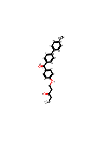 CC(C)(C)CC(=O)CCOc1ccc(C(=O)c2ccc(-c3ccc(C#N)cc3)cc2)cc1